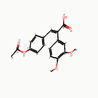 COc1ccc(/C(=C\c2ccc(OC(C)=O)cc2)C(=O)O)cc1OC